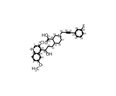 COc1ccc2ncc(Cl)c([C@H](O)CCC3CCN(CC#Cc4cccc(F)c4)CC3C(=O)O)c2c1